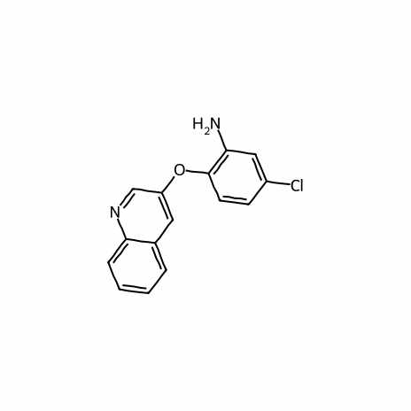 Nc1cc(Cl)ccc1Oc1cnc2ccccc2c1